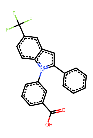 O=C(O)c1cccc(-n2c(-c3ccccc3)cc3cc(C(F)(F)F)ccc32)c1